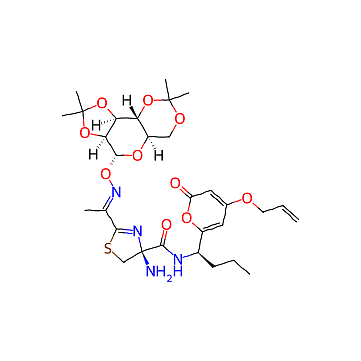 C=CCOc1cc([C@@H](CCC)NC(=O)[C@]2(N)CSC(/C(C)=N/O[C@H]3O[C@@H]4COC(C)(C)O[C@H]4[C@@H]4OC(C)(C)O[C@H]34)=N2)oc(=O)c1